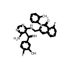 Cc1ccccc1-n1c(CNc2ncnc(N)c2C(=N)c2ccc(F)c(O)c2)cc2cccc(F)c2c1=O